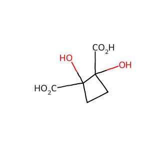 O=C(O)C1(O)CCC1(O)C(=O)O